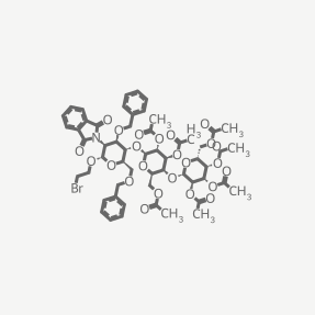 CC(=O)OC[C@H]1O[C@@H](O[C@@H]2[C@H](OC(C)=O)[C@@H](OC(C)=O)[C@H](O[C@H]3[C@H](OCc4ccccc4)[C@H](N4C(=O)c5ccccc5C4=O)[C@@H](OCCBr)O[C@@H]3COCc3ccccc3)O[C@@H]2COC(C)=O)[C@H](OC(C)=O)[C@@H](OC(C)=O)[C@H]1OC(C)=O